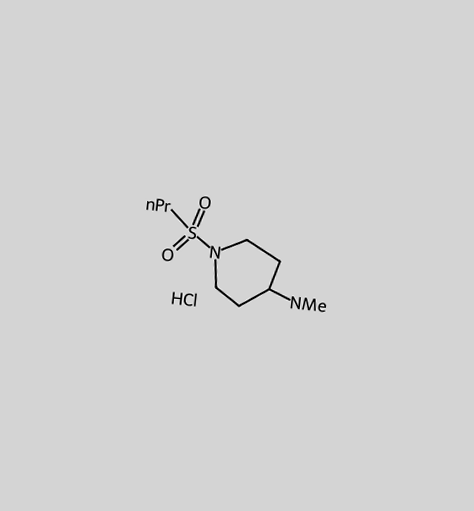 CCCS(=O)(=O)N1CCC(NC)CC1.Cl